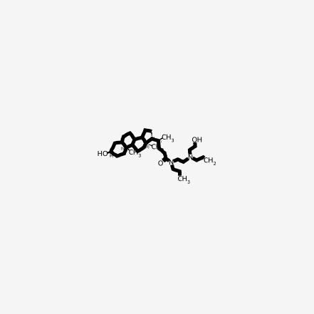 C=CCN(CCO)CCN(CCC)C(=O)CC[C@@H](C)[C@H]1CCC2C3CCC4C[C@H](O)CC[C@]4(C)C3CC[C@@]21C